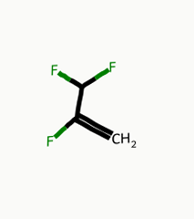 C=C(F)C(F)F